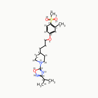 Cc1cc(OCCCC2CCN(c3nc(C(C)C)no3)CC2)ccc1S(C)(=O)=O